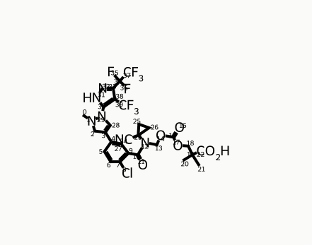 CN1CC(c2ccc(Cl)c(C(=O)N(COC(=O)OCC(C)(C)C(=O)O)C3(C#N)CC3)c2)=CN1c1[nH]nc(C(F)(F)C(F)(F)F)c1C(F)(F)F